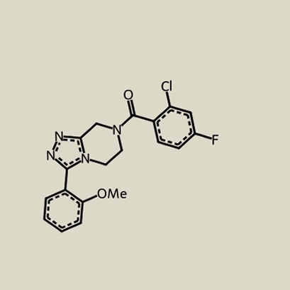 COc1ccccc1-c1nnc2n1CCN(C(=O)c1ccc(F)cc1Cl)C2